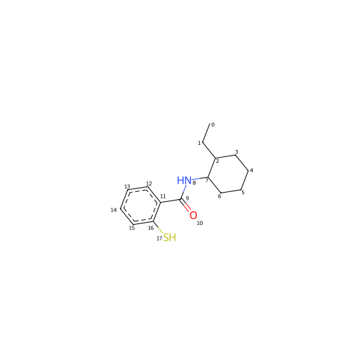 CCC1CCCCC1NC(=O)c1ccccc1S